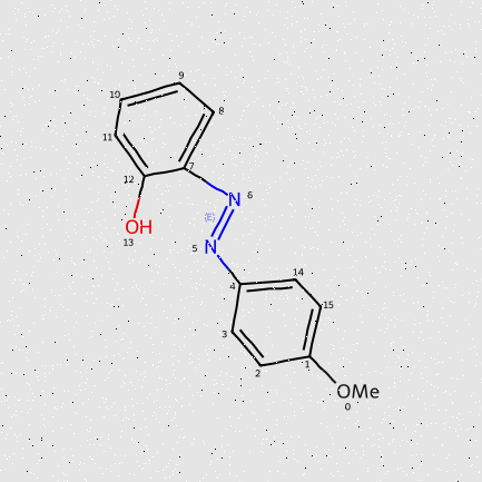 COc1ccc(/N=N/c2ccccc2O)cc1